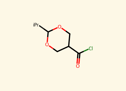 CC(C)C1OCC(C(=O)Cl)CO1